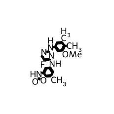 COc1cc(Nc2ncc(F)c(Nc3cc(C)c4oc(=O)[nH]c4c3)n2)cc(C)c1C